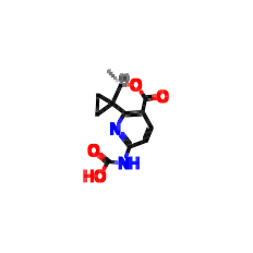 C[C@@H]1OC(=O)c2ccc(NC(=O)O)nc2C12CC2